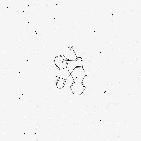 Cc1ccc2c(c1C)C1(c3ccccc3O2)c2ccccc2-c2ccccc21